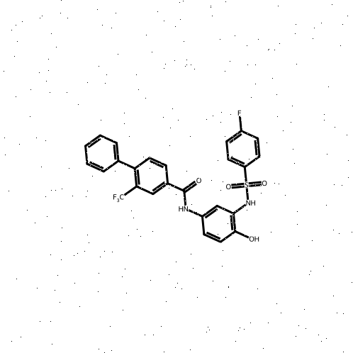 O=C(Nc1ccc(O)c(NS(=O)(=O)c2ccc(F)cc2)c1)c1ccc(-c2ccccc2)c(C(F)(F)F)c1